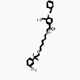 Cc1cccc(C(F)(F)COCCCCCCNC[C@H](O)c2ccc(OCc3ccccc3)c(CO)c2)c1